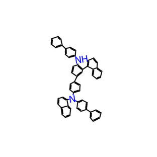 c1ccc(-c2ccc(Nc3ccc(-c4ccc(N(c5ccc(-c6ccccc6)cc5)c5cccc6ccccc56)cc4)cc3-c3cccc4ccccc34)cc2)cc1